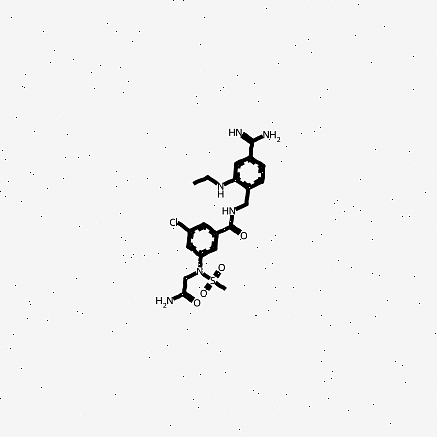 CCNc1cc(C(=N)N)ccc1CNC(=O)c1cc(Cl)cc(N(CC(N)=O)S(C)(=O)=O)c1